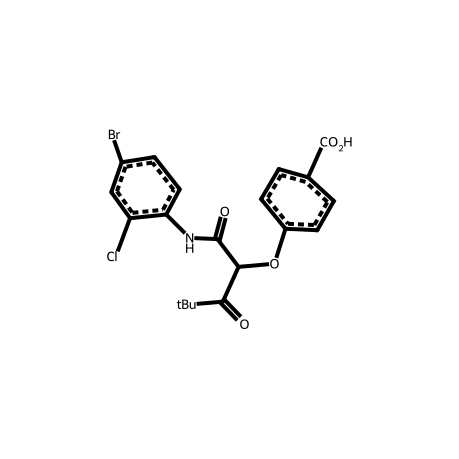 CC(C)(C)C(=O)C(Oc1ccc(C(=O)O)cc1)C(=O)Nc1ccc(Br)cc1Cl